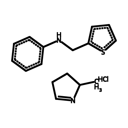 CC1CCC=N1.Cl.c1ccc(NCc2cccs2)cc1